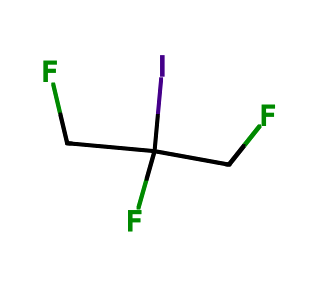 FCC(F)(I)CF